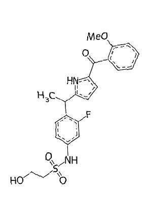 COc1ccccc1C(=O)c1ccc(C(C)c2ccc(NS(=O)(=O)CCO)cc2F)[nH]1